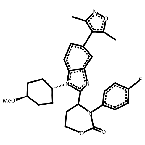 CO[C@H]1CC[C@H](n2c(C3CCOC(=O)N3c3ccc(F)cc3)nc3cc(-c4c(C)noc4C)ccc32)CC1